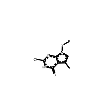 Cc1cn(SF)c2nc(Cl)[nH]c(=O)c12